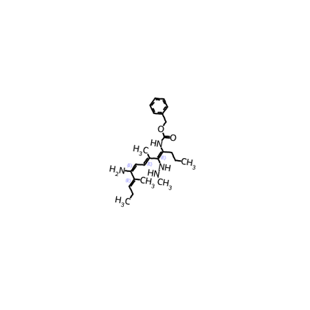 CC/C=C(C)/C(N)=C\C=C(C)\C(NNC)=C(\CCC)NC(=O)OCc1ccccc1